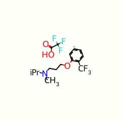 CC(C)N(C)CCCOc1c[c]ccc1C(F)(F)F.O=C(O)C(F)(F)F